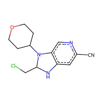 N#Cc1cc2c(cn1)N(C1CCOCC1)C(CCl)N2